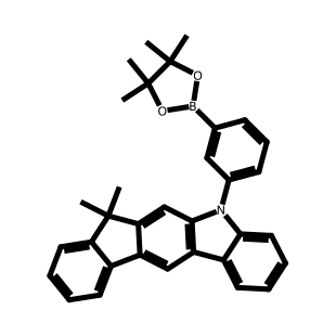 CC1(C)c2ccccc2-c2cc3c4ccccc4n(-c4cccc(B5OC(C)(C)C(C)(C)O5)c4)c3cc21